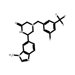 Cn1cnc2ccc(C3CN(Cc4cc(F)cc(C(F)(F)F)c4)CC(=O)N3)cc21